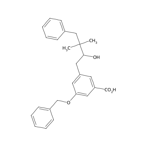 CC(C)(Cc1ccccc1)C(O)Cc1cc(OCc2ccccc2)cc(C(=O)O)c1